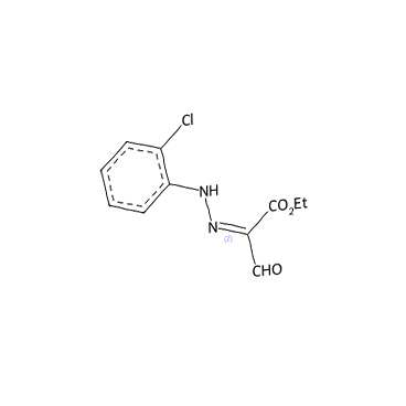 CCOC(=O)/C(C=O)=N\Nc1ccccc1Cl